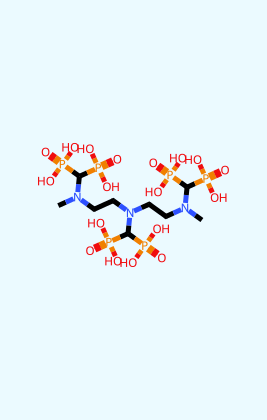 CN(CCN(CCN(C)C(P(=O)(O)O)P(=O)(O)O)C(P(=O)(O)O)P(=O)(O)O)C(P(=O)(O)O)P(=O)(O)O